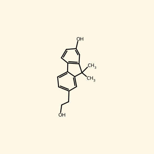 CC1(C)c2cc(O)ccc2-c2ccc(CCO)cc21